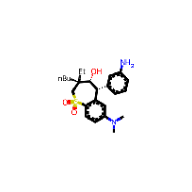 CCCC[C@]1(CC)CS(=O)(=O)c2ccc(N(C)C)cc2[C@@H](c2cccc(N)c2)[C@H]1O